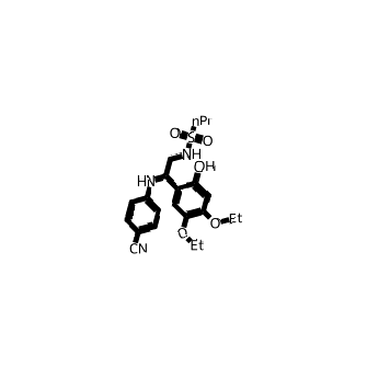 CCCS(=O)(=O)NCC(Nc1ccc(C#N)cc1)c1cc(OCC)c(OCC)cc1O